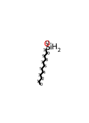 CCCCCCCCCCCC[SiH2][O]